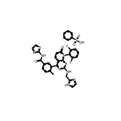 Cc1ccc(C(=O)Nc2nccs2)cc1-c1nc(NCc2ncc[nH]2)nc2c1ccc(=O)n2-c1c(F)cccc1F.O=S(=O)(O)c1ccccc1